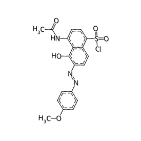 COc1ccc(/N=N/c2ccc3c(S(=O)(=O)Cl)ccc(NC(C)=O)c3c2O)cc1